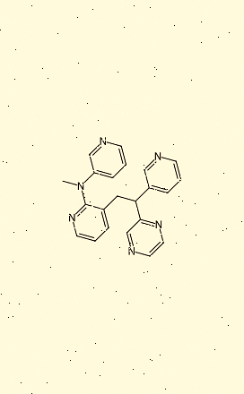 CN(c1cccnc1)c1ncccc1CC(c1cccnc1)c1cnccn1